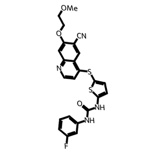 COCCOc1cc2nccc(Sc3ccc(NC(=O)Nc4cccc(F)c4)s3)c2cc1C#N